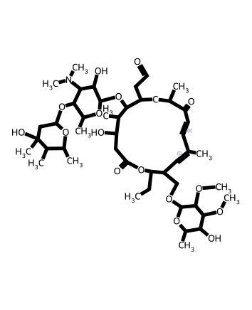 CCC1OC(=O)CC(O)C(C)C(OC2OC(C)C(OC3CC(C)(O)C(C)C(C)O3)C(N(C)C)C2O)C(CC=O)CC(C)C(=O)/C=C/C(C)=C/C1COC1OC(C)C(O)C(OC)C1OC